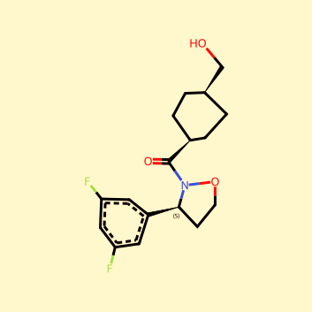 O=C([C@H]1CC[C@@H](CO)CC1)N1OCC[C@H]1c1cc(F)cc(F)c1